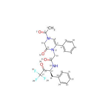 CC(=O)N1C=C(c2ccccc2)N(CC(=O)N[C@@H](Cc2ccccc2)C(=O)C(F)(F)F)C(=O)C1